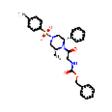 C[C@H]1CN(S(=O)(=O)c2ccc([N+](=O)[O-])cc2)C[C@H](c2ccccc2)N1C(=O)CNC(=O)OCc1ccccc1